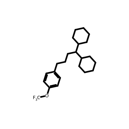 FC(F)(F)Oc1ccc(CCCC(C2CCCCC2)C2CCCCC2)cc1